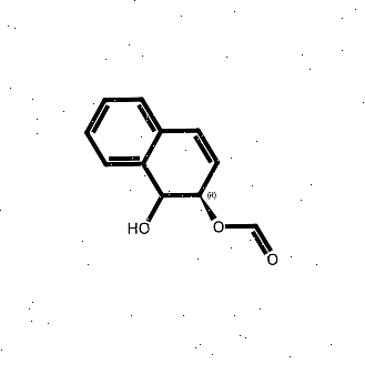 O=CO[C@@H]1C=Cc2ccccc2C1O